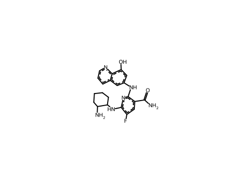 NC(=O)c1cc(F)c(NC2CCCCC2N)nc1Nc1cc(O)c2ncccc2c1